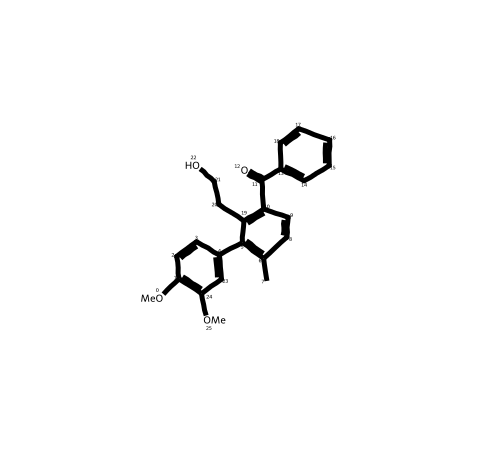 COc1ccc(-c2c(C)ccc(C(=O)c3ccccc3)c2CCO)cc1OC